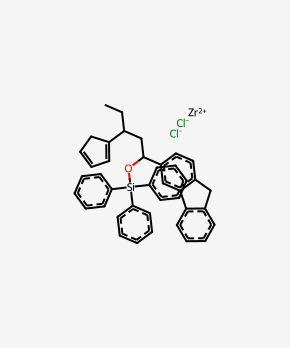 CCC(CC(O[Si](c1ccccc1)(c1ccccc1)c1ccccc1)c1ccc2c(c1)-c1ccccc1C2)C1=CC=CC1.[Cl-].[Cl-].[Zr+2]